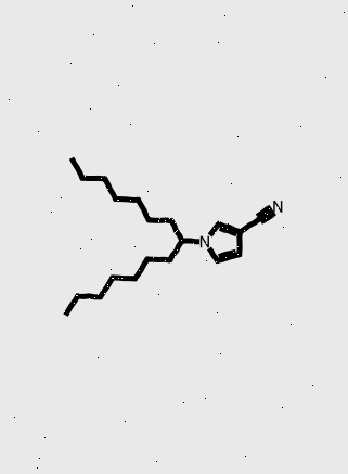 CCCCCCCC(CCCCCCC)n1ccc(C#N)c1